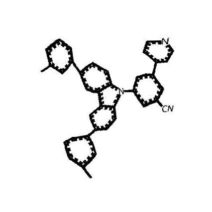 Cc1cccc(-c2ccc3c(c2)c2cc(-c4cccc(C)c4)ccc2n3-c2cc(C#N)cc(-c3ccncc3)c2)c1